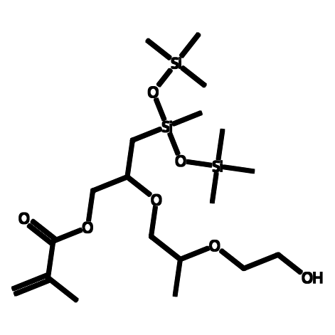 C=C(C)C(=O)OCC(C[Si](C)(O[Si](C)(C)C)O[Si](C)(C)C)OCC(C)OCCO